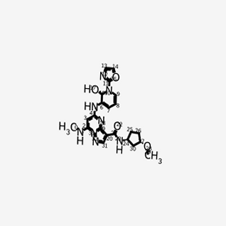 CNc1cc(NC2=CC=CN(c3ncco3)C2O)nc2c(C(=O)N[C@H]3CC[C@H](OC)C3)cnn12